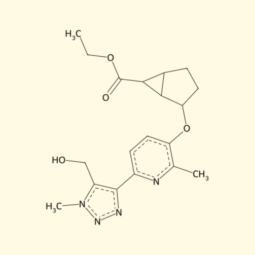 CCOC(=O)C1C2CCC(Oc3ccc(-c4nnn(C)c4CO)nc3C)C21